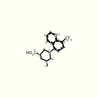 C[C@H]1C[C@@H](C(=O)O)CN(c2ccc(C(F)(F)F)c3ncccc23)C1